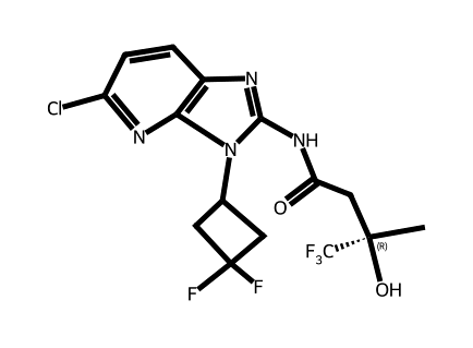 C[C@@](O)(CC(=O)Nc1nc2ccc(Cl)nc2n1C1CC(F)(F)C1)C(F)(F)F